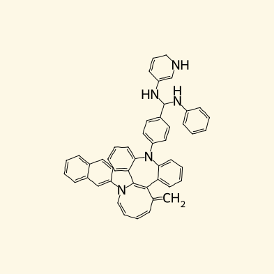 C=C1/C=C\C=C/N(c2ccc3ccccc3c2)C2=C1c1ccccc1N(c1ccc(C(NC3=CNCC=C3)Nc3ccccc3)cc1)c1ccccc12